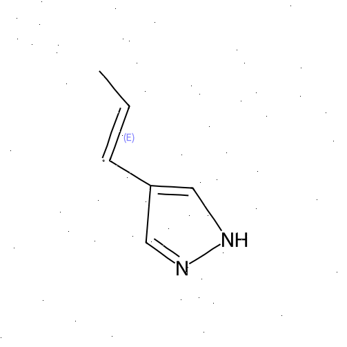 C/C=[C]/c1cn[nH]c1